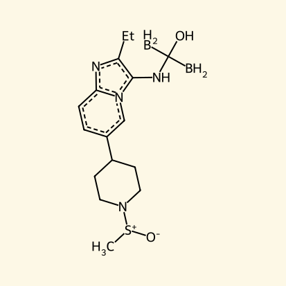 BC(B)(O)Nc1c(CC)nc2ccc(C3CCN([S+](C)[O-])CC3)cn12